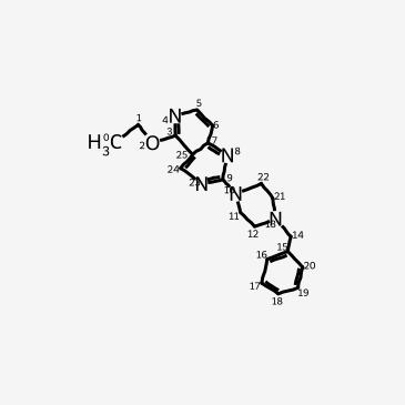 CCOc1nccc2nc(N3CCN(Cc4ccccc4)CC3)ncc12